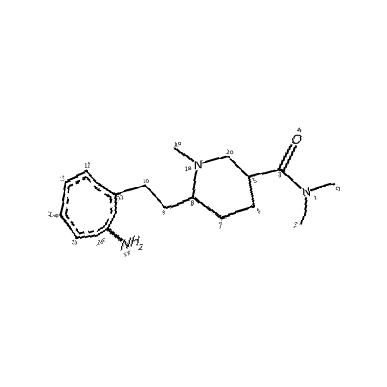 CN(C)C(=O)C1CCC(CCc2ccccc2N)N(C)C1